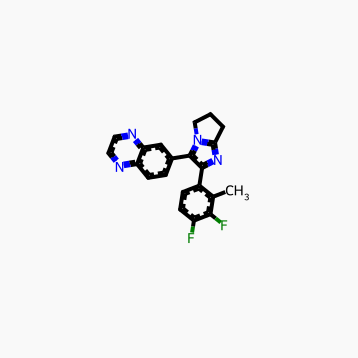 Cc1c(-c2nc3n(c2-c2ccc4nccnc4c2)CCC3)ccc(F)c1F